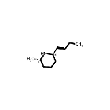 CCC=C[C@H]1CCC[C@H](C)N1